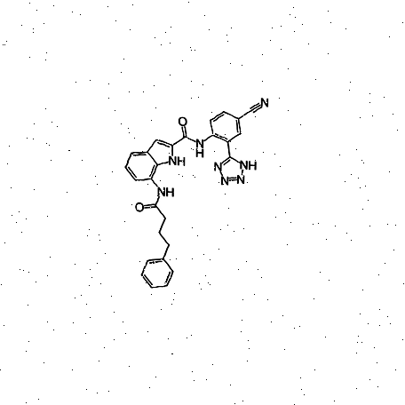 N#Cc1ccc(NC(=O)c2cc3cccc(NC(=O)CCCc4ccccc4)c3[nH]2)c(-c2nnn[nH]2)c1